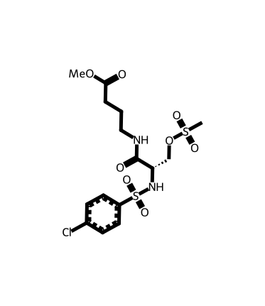 COC(=O)CCCNC(=O)[C@H](COS(C)(=O)=O)NS(=O)(=O)c1ccc(Cl)cc1